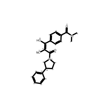 CN(C)C(=O)c1ccc(/C(O)=C(/C#N)C(=O)N2CCC(c3ccccc3)C2)cc1